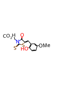 COc1ccc(O)c(/C=C2\SC(=S)N(CC(=O)O)C2=O)c1